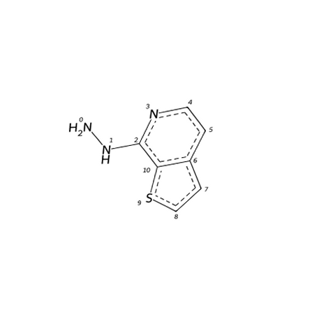 NNc1nccc2ccsc12